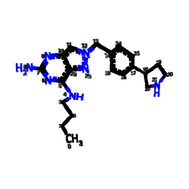 CCCCNc1nc(N)nc2cn(Cc3ccc([C@H]4CCNC4)cc3)nc12